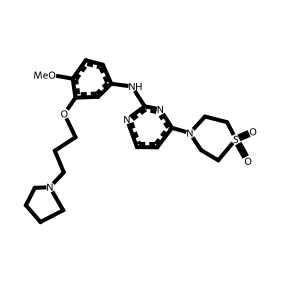 COc1ccc(Nc2nccc(N3CCS(=O)(=O)CC3)n2)cc1OCCCN1CCCC1